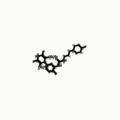 CC1=C(C(=O)O)C(c2ccc(F)c(NC(=O)NCCCN3CCC(C)CC3)c2)C(C(=O)O)=C(C)N1